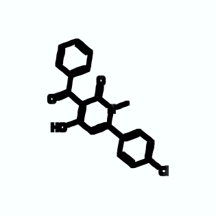 Cn1c(-c2ccc(Cl)cc2)cc(O)c(C(=O)c2ccccc2)c1=O